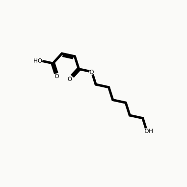 O=C(O)/C=C\C(=O)OCCCCCCO